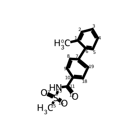 Cc1ccccc1-c1ccc(C(=O)NS(C)(=O)=O)cc1